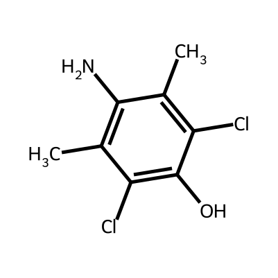 Cc1c(N)c(C)c(Cl)c(O)c1Cl